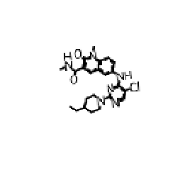 CCC1CCN(c2ncc(Cl)c(Nc3ccc4c(c3)cc(C(=O)NC)c(=O)n4C)n2)CC1